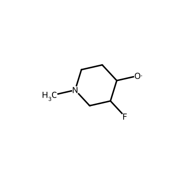 CN1CCC([O])C(F)C1